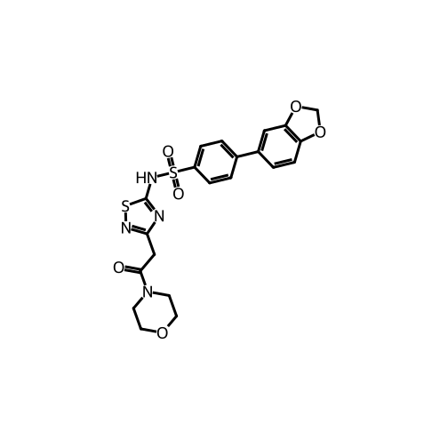 O=C(Cc1nsc(NS(=O)(=O)c2ccc(-c3ccc4c(c3)OCO4)cc2)n1)N1CCOCC1